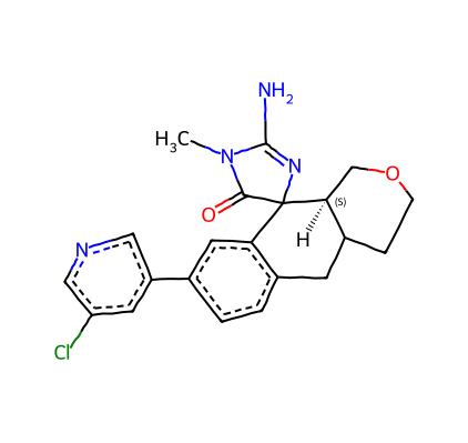 CN1C(=O)C2(N=C1N)c1cc(-c3cncc(Cl)c3)ccc1CC1CCOC[C@@H]12